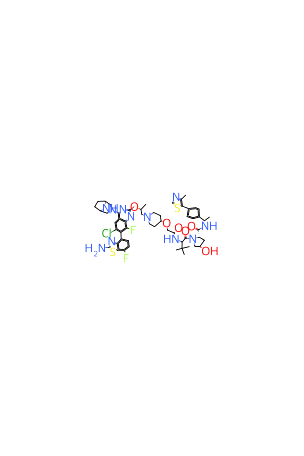 Cc1ncsc1-c1ccc(C(C)NC(=O)[C@@H]2C[C@@H](O)CN2C(=O)C(NC(=O)COC2CCN(CC(C)Oc3nc(N4CC5CCC(C4)N5)c4cc(Cl)c(-c5ccc(F)c6sc(N)nc56)c(F)c4n3)CC2)C(C)(C)C)cc1